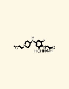 COCCN1CCC(Nc2cc(O)c(N3CC(=O)NN3)c(F)c2)CC1